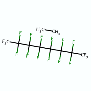 CC.FC(F)(F)C(F)(F)C(F)(F)C(F)(F)C(F)(F)C(F)(F)C(F)(F)C(F)(F)F